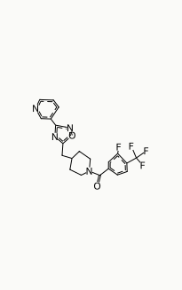 O=C(c1ccc(C(F)(F)F)c(F)c1)N1CCC(Cc2nc(-c3cccnc3)no2)CC1